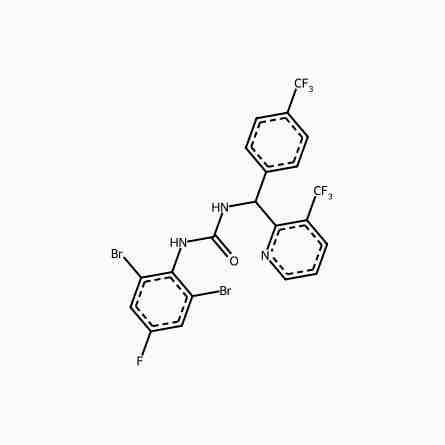 O=C(Nc1c(Br)cc(F)cc1Br)NC(c1ccc(C(F)(F)F)cc1)c1ncccc1C(F)(F)F